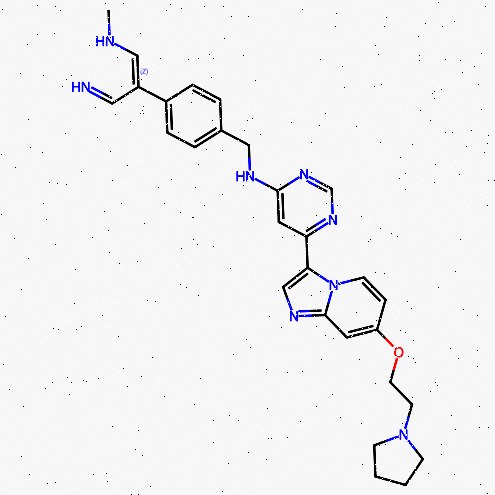 CN/C=C(\C=N)c1ccc(CNc2cc(-c3cnc4cc(OCCN5CCCC5)ccn34)ncn2)cc1